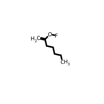 C=C(CCCCC)OF